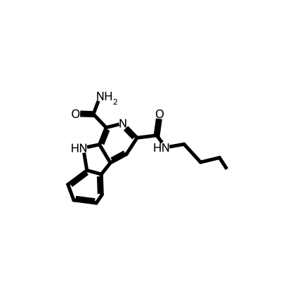 CCCCNC(=O)c1cc2c([nH]c3ccccc32)c(C(N)=O)n1